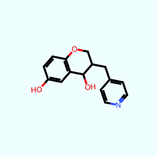 Oc1ccc2c(c1)C(O)C(Cc1ccncc1)CO2